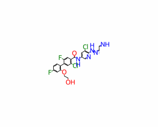 N=C/C=N\Nc1ncc(NC(=O)c2cc(F)c(-c3ccc(F)cc3OCCO)cc2Cl)cc1Cl